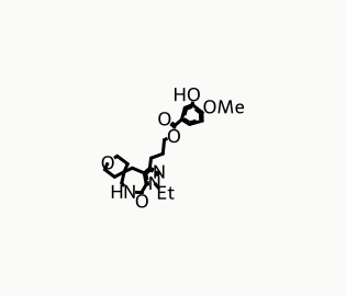 CCn1nc(CCCOC(=O)c2ccc(OC)c(O)c2)c2c1C(=O)NCC1(CCOCC1)C2